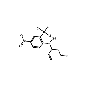 C=CCC(C=C)N(S)c1ccc([N+](=O)[O-])cc1C(Cl)(Cl)Cl